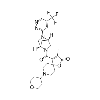 CC1=C(C(=O)N2C[C@@H]3C[C@H]2CN3c2cc(C(F)(F)F)cnn2)C2(CCN(C3CCOCC3)CC2)OC1=O